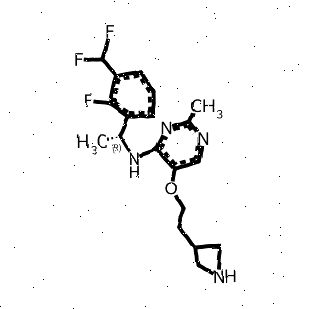 Cc1ncc(OCCC2CNC2)c(N[C@H](C)c2cccc(C(F)F)c2F)n1